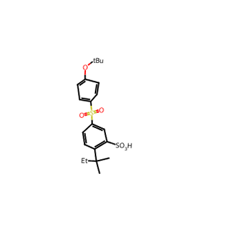 CCC(C)(C)c1ccc(S(=O)(=O)c2ccc(OC(C)(C)C)cc2)cc1S(=O)(=O)O